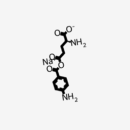 Nc1ccc(C(=O)OC(=O)CC[C@H](N)C(=O)[O-])cc1.[Na+]